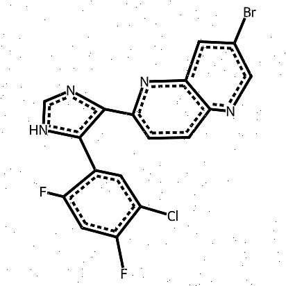 Fc1cc(F)c(-c2[nH]cnc2-c2ccc3ncc(Br)cc3n2)cc1Cl